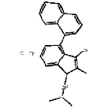 CCC1=C(C)[CH]([Zr+2][Si](C)C)c2cccc(-c3cccc4ccccc34)c21.[Cl-].[Cl-]